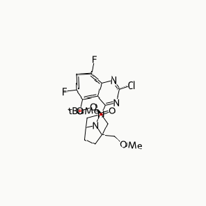 COCC12CCC(CN(c3nc(Cl)nc4c(F)cc(F)c(OC)c34)C1)N2C(=O)OC(C)(C)C